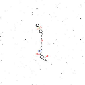 CC(=O)Oc1ccc([C@@H](O)CNCCCCCCOCCCCc2ccc(S(=O)(=O)C3CCCC3)cc2)cc1CO